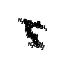 CCS(=O)(=O)NCCCOc1nc(-c2nccc(NS(=O)(=O)c3ccc(C(C)(C)C)cc3)n2)ncc1Oc1ccccc1OC